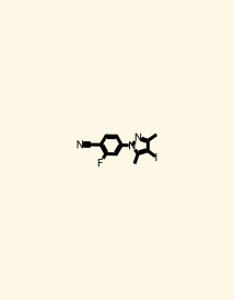 Cc1nn(-c2ccc(C#N)c(F)c2)c(C)c1I